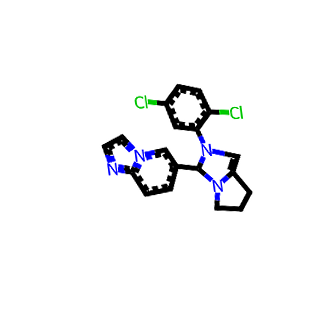 Clc1ccc(Cl)c(N2C=C3CCCN3C2c2ccc3nccn3c2)c1